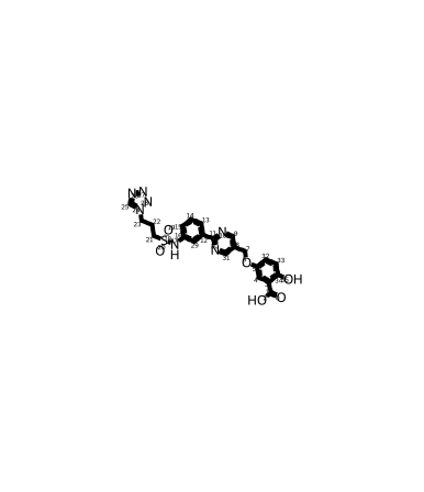 O=C(O)c1cc(OCc2cnc(-c3cccc(NS(=O)(=O)CCCn4cnnn4)c3)nc2)ccc1O